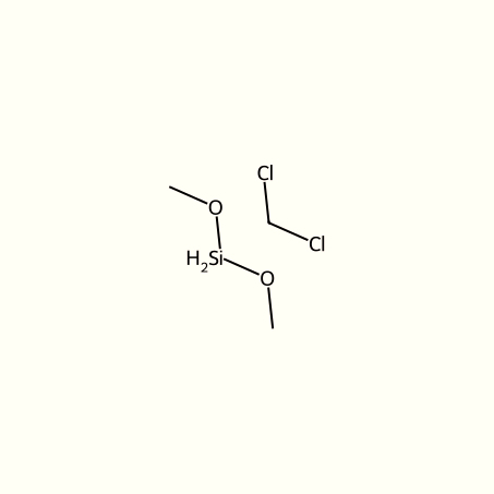 CO[SiH2]OC.ClCCl